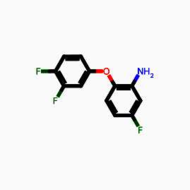 Nc1cc(F)ccc1Oc1ccc(F)c(F)c1